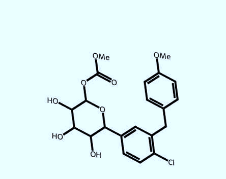 COC(=O)OC1OC(c2ccc(Cl)c(Cc3ccc(OC)cc3)c2)C(O)C(O)C1O